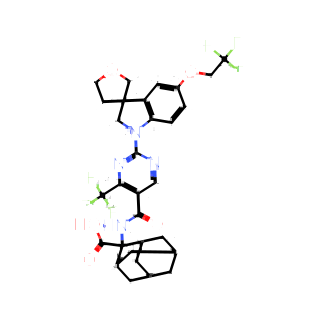 O=C(NC1(C(=O)O)C2CC3CC(C2)CC1C3)c1cnc(N2CC3(CCOC3)c3cc(OCC(F)(F)F)ccc32)nc1C(F)(F)F